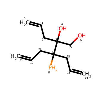 C=CCC(O)(CO)C(P)(CC=C)CC=C